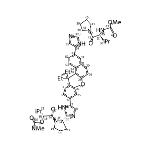 CCC1(CC)c2ccc(-c3cnc([C@@H]4CCCN4C(=O)[C@H](OC(=O)NC)C(C)C)[nH]3)cc2Oc2ccc3cc(-c4cnc([C@@H]5CCCN5C(=O)[C@@H](NC(=O)OC)C(C)C)[nH]4)ccc3c21